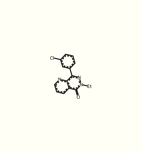 CCn1nc(-c2cccc(Cl)c2)c2ncccc2c1=O